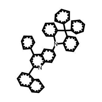 c1ccc(-c2cc(-c3cccc4ccccc34)nc3ccc(N4c5ccccc5C(c5ccccc5)(c5ccccc5)c5ccccc54)cc23)cc1